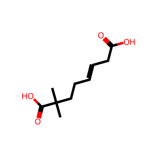 CC(C)(CCC=CCC(=O)O)C(=O)O